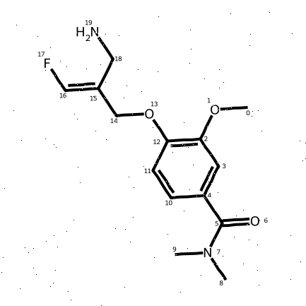 COc1cc(C(=O)N(C)C)ccc1OC/C(=C/F)CN